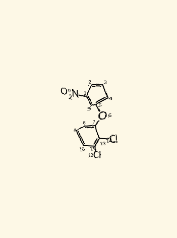 O=[N+]([O-])c1[c]ccc(Oc2cccc(Cl)c2Cl)c1